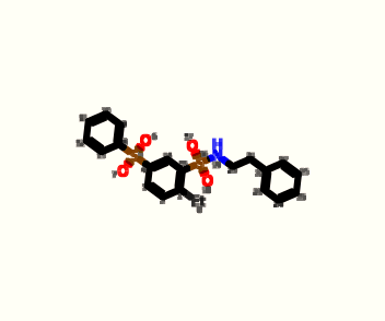 CCc1ccc(S(=O)(=O)c2ccccc2)cc1S(=O)(=O)NCCc1ccccc1